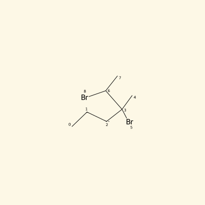 CC[CH]C(C)(Br)C(C)Br